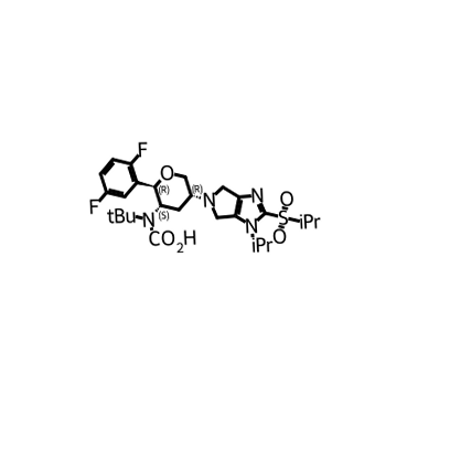 CC(C)n1c(S(=O)(=O)C(C)C)nc2c1CN([C@H]1CO[C@H](c3cc(F)ccc3F)[C@@H](N(C(=O)O)C(C)(C)C)C1)C2